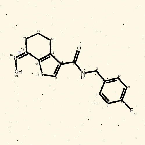 O=C(NCc1ccc(F)cc1)c1csc2c1CCC/C2=N/O